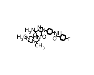 CC(CNC(=O)c1c(C(N)=O)ncn1-c1ccc(NC(=O)c2ccc(F)cc2)cc1)N1CCN(C)CC1